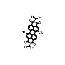 CCC(CC)N1C(=O)c2ccc3c4c(C#N)cc5c6c(ccc(c7c(C#N)cc(c2c37)C1=O)c64)C(=O)N(C(CC)CC)C5=O